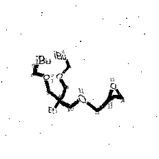 CCC(C)COCC(CC)(COCC(C)CC)COCC1CO1